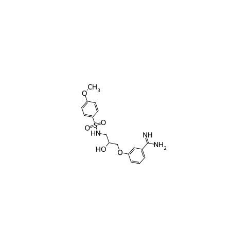 COc1ccc(S(=O)(=O)NCC(O)COc2cccc(C(=N)N)c2)cc1